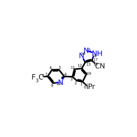 CC(C)c1cc(-c2ccc(C(F)(F)F)cn2)cc(-c2nn[nH]c2C#N)c1